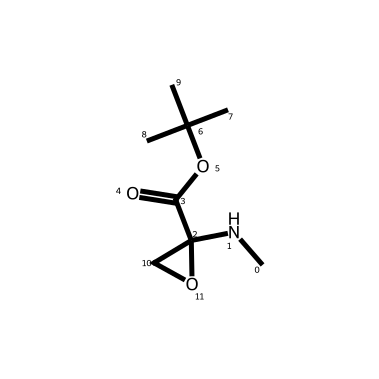 CNC1(C(=O)OC(C)(C)C)CO1